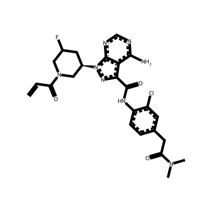 C=CC(=O)N1CC(F)C[C@@H](n2nc(C(=O)Nc3ccc(CC(=O)N(C)C)cc3Cl)c3c(N)ncnc32)C1